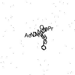 CCCN1Cc2c(nc(N3CCN(C(C)=O)CC3)nc2N2CCC(OCc3ccccc3)C2)C1=O